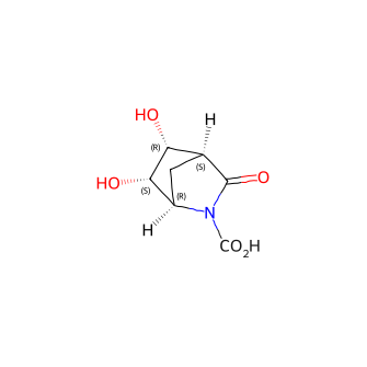 O=C(O)N1C(=O)[C@H]2C[C@@H]1[C@H](O)[C@@H]2O